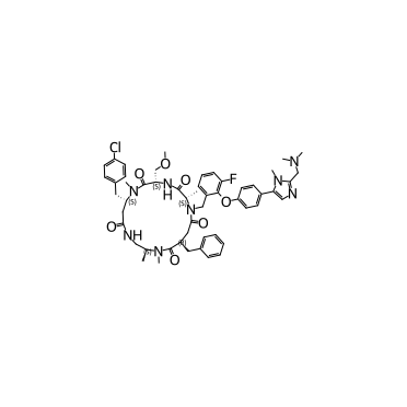 COC[C@@H]1NC(=O)[C@H](C)N(Cc2cccc(F)c2Oc2ccc(-c3cnc(CN(C)C)n3C)cc2)C(=O)C[C@@H](Cc2ccccc2)C(=O)N(C)[C@@H](C)CNC(=O)C[C@H](Cc2ccc(Cl)cc2)N(C)C1=O